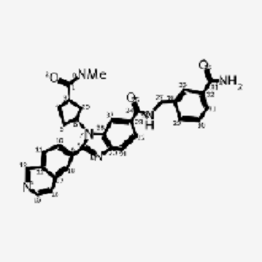 CNC(=O)[C@@H]1CC[C@H](n2c(-c3ccc4cnccc4c3)nc3ccc(C(=O)NCc4cccc(C(N)=O)c4)cc32)C1